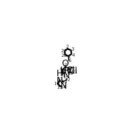 Cl.Cl.c1ccc(COC2CCN(Cc3ncc[nH]3)CC2)cc1